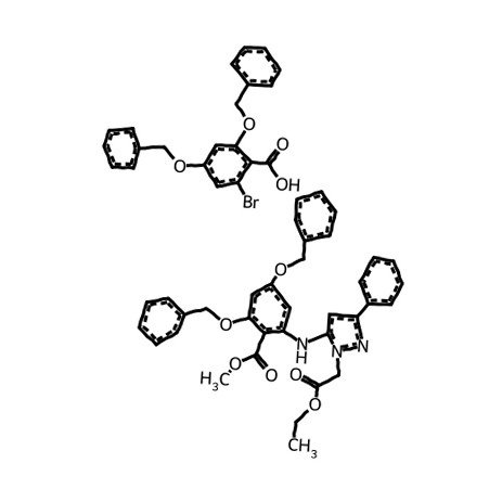 CCOC(=O)Cn1nc(-c2ccccc2)cc1Nc1cc(OCc2ccccc2)cc(OCc2ccccc2)c1C(=O)OC.O=C(O)c1c(Br)cc(OCc2ccccc2)cc1OCc1ccccc1